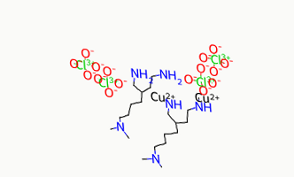 CN(C)CCCCC(CC[NH][Cu+2])C[NH][Cu+2].CN(C)CCCCC(CN)CCN.[O-][Cl+3]([O-])([O-])[O-].[O-][Cl+3]([O-])([O-])[O-].[O-][Cl+3]([O-])([O-])[O-].[O-][Cl+3]([O-])([O-])[O-]